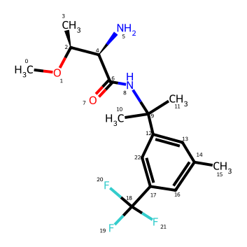 CO[C@@H](C)[C@@H](N)C(=O)NC(C)(C)c1cc(C)cc(C(F)(F)F)c1